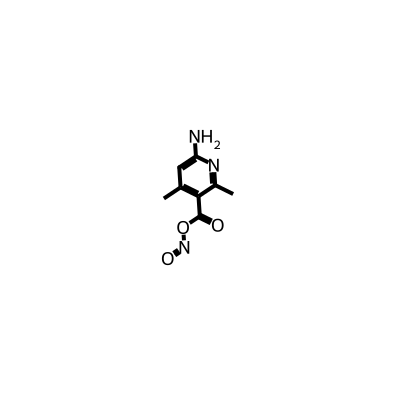 Cc1cc(N)nc(C)c1C(=O)ON=O